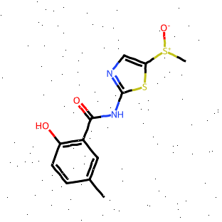 Cc1ccc(O)c(C(=O)Nc2ncc([S+](C)[O-])s2)c1